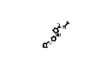 O=C(NCCC1CC1)c1cccc(Nc2ccc(OCc3ccccn3)cc2)c1